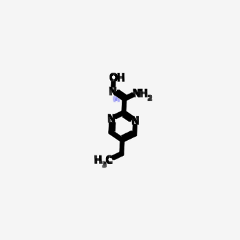 CCc1cnc(/C(N)=N/O)nc1